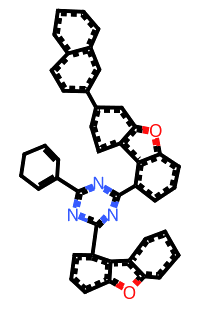 C1=CC(c2nc(-c3cccc4oc5ccccc5c34)nc(-c3cccc4oc5cc(-c6ccc7ccccc7c6)ccc5c34)n2)=CCC1